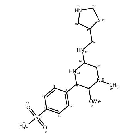 COC1C(c2ccc(S(C)(=O)=O)cc2)NC(NCC2CNCS2)CN1C